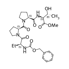 CC[C@H](NC(=O)OCc1ccccc1)C(=O)N1CCC[C@H]1C(=O)N1CCC[C@H]1C(=O)N[C@H](C(=O)OC)[C@@H](C)O